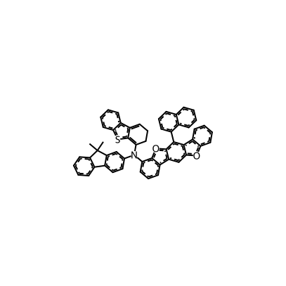 CC1(C)c2ccccc2-c2ccc(N(C3=c4sc5ccccc5c4=CCC3)c3cccc4c3oc3c(-c5cccc6ccccc56)c5c(cc34)oc3ccccc35)cc21